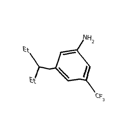 CCC(CC)c1cc(N)cc(C(F)(F)F)c1